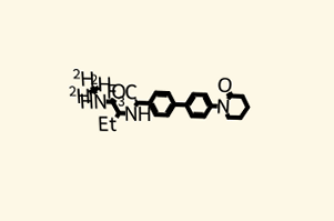 [2H]C([2H])([2H])NC(=O)C(CC)N[C@@H](c1ccc(-c2ccc(N3CCCCC3=O)cc2)cc1)C(F)(F)F